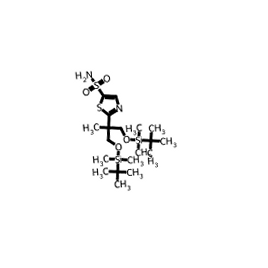 CC(CO[Si](C)(C)C(C)(C)C)(CO[Si](C)(C)C(C)(C)C)c1ncc(S(N)(=O)=O)s1